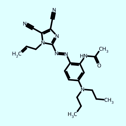 C=CCn1c(N=Nc2ccc(N(CCC)CCC)cc2NC(C)=O)nc(C#N)c1C#N